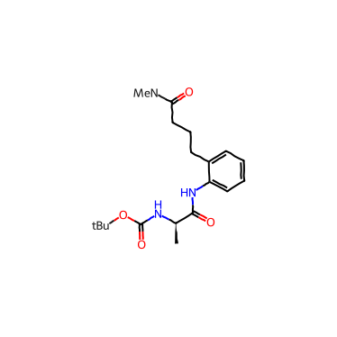 CNC(=O)CCCc1ccccc1NC(=O)[C@@H](C)NC(=O)OC(C)(C)C